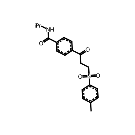 Cc1ccc(S(=O)(=O)CCC(=O)c2ccc(C(=O)NC(C)C)cc2)cc1